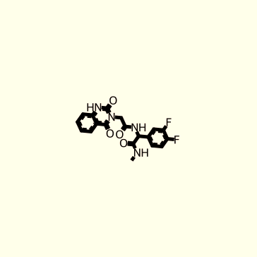 CNC(=O)C(NC(=O)Cn1c(=O)[nH]c2ccccc2c1=O)c1ccc(F)c(F)c1